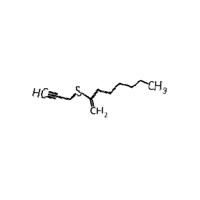 C#CCSC(=C)CCCCCC